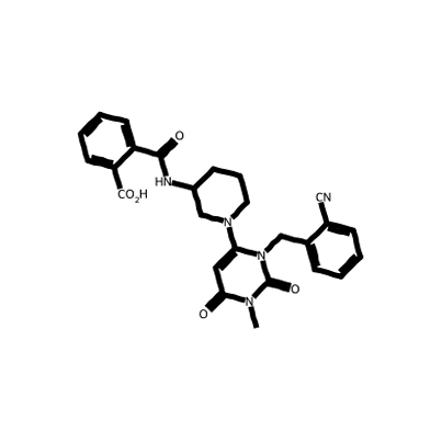 Cn1c(=O)cc(N2CCCC(NC(=O)c3ccccc3C(=O)O)C2)n(Cc2ccccc2C#N)c1=O